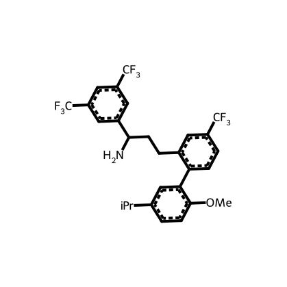 COc1ccc(C(C)C)cc1-c1ccc(C(F)(F)F)cc1CCC(N)c1cc(C(F)(F)F)cc(C(F)(F)F)c1